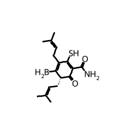 BC1=C(CC=C(C)C)C(S)=C(C(N)=O)C(=O)[C@@H]1CC=C(C)C